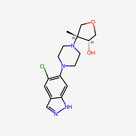 C[C@@]1(N2CCN(c3cc4[nH]ncc4cc3Cl)CC2)COC[C@@H]1O